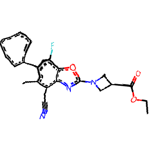 CCOC(=O)C1CN(c2nc3c(C#N)c(C)c(-c4ccccc4)c(F)c3o2)C1